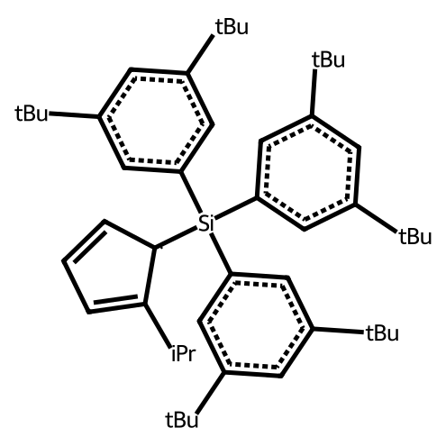 CC(C)C1=CC=C[C]1[Si](c1cc(C(C)(C)C)cc(C(C)(C)C)c1)(c1cc(C(C)(C)C)cc(C(C)(C)C)c1)c1cc(C(C)(C)C)cc(C(C)(C)C)c1